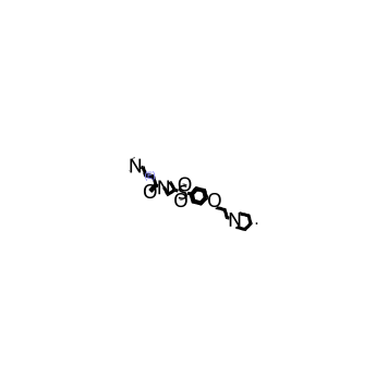 CN(C)C/C=C/C(=O)N1CC(S(=O)(=O)c2ccc(OCCCN3CC[CH]CC3)cc2)C1